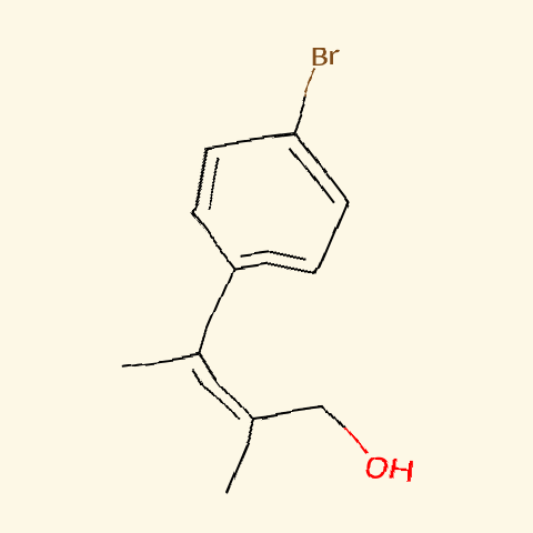 CC(CO)=C(C)c1ccc(Br)cc1